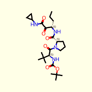 CCC[C@H](NC(=O)[C@@H]1CCCN1C(=O)[C@@H](NC(=O)OC(C)(C)C)C(C)(C)C)C(=O)C(=O)NC1CC1